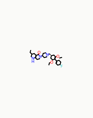 CCOC1=C(C2=CC[C@H](F)CC2)[C@@H](OCC)C[C@@H](CN2CCC(N3CCC4=C(CC(CC)CN4)C3=O)CC2)C1